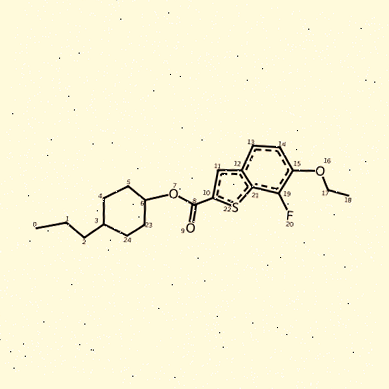 CCCC1CCC(OC(=O)c2cc3ccc(OCC)c(F)c3s2)CC1